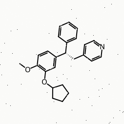 COc1ccc([C@@H](Cc2ccncc2)c2ccccc2)cc1OC1CCCC1